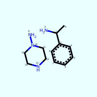 CC(N)c1ccccc1.NN1CCNCC1